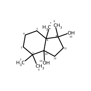 CC1(C)CCCC2(C)C(C)(O)CCC12O